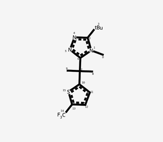 Cn1c(C(C)(C)C)nnc1C(C)(C)c1ccc(C(F)(F)F)s1